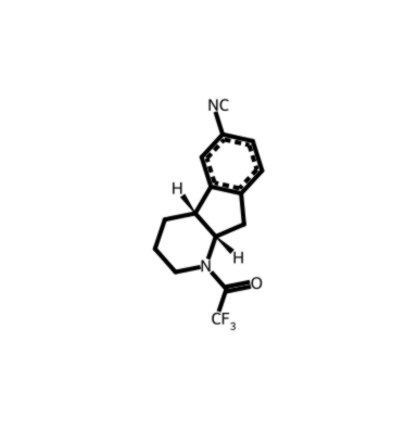 [C-]#[N+]c1ccc2c(c1)[C@H]1CCCN(C(=O)C(F)(F)F)[C@H]1C2